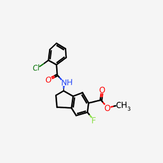 COC(=O)c1cc2c(cc1F)CC[C@H]2NC(=O)c1ccccc1Cl